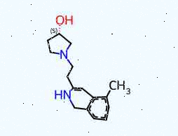 Cc1cccc2c1C=C(CCN1CC[C@H](O)C1)NC2